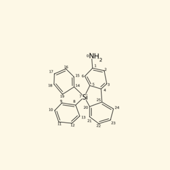 Nc1ccc2c(c1)[Si](c1ccccc1)(c1ccccc1)c1ccccc1-2